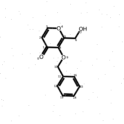 O=c1ccoc(CO)c1OCc1ccccc1